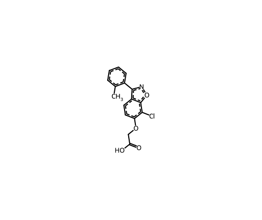 Cc1ccccc1-c1noc2c(Cl)c(OCC(=O)O)ccc12